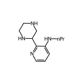 CCCNc1cccnc1C1CNCCN1